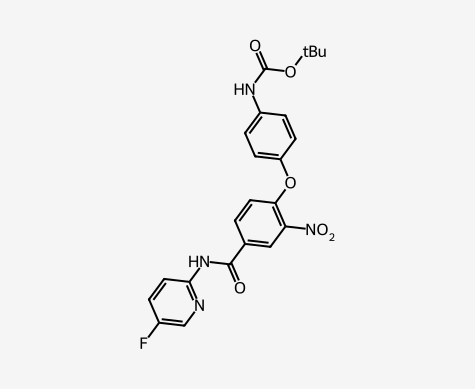 CC(C)(C)OC(=O)Nc1ccc(Oc2ccc(C(=O)Nc3ccc(F)cn3)cc2[N+](=O)[O-])cc1